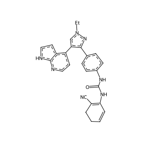 CCn1cc(-c2ccnc3[nH]ccc23)c(-c2ccc(NC(=O)NC3=C(C#N)CCC=C3)cc2)n1